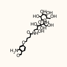 Nc1cc(OCCCC(=O)NCC(O)[C@@H](O)[C@](O)(O[C@@H]2OC(CO)[C@H](O)[C@H](O)C2O)C(O)CO)ccc1C=O